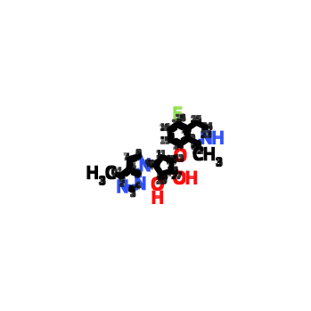 Cc1ncnc2c1ccn2[C@@H]1C[C@H](Oc2ccc(F)c3c2[C@@H](C)NCC3)[C@@H](O)[C@H]1O